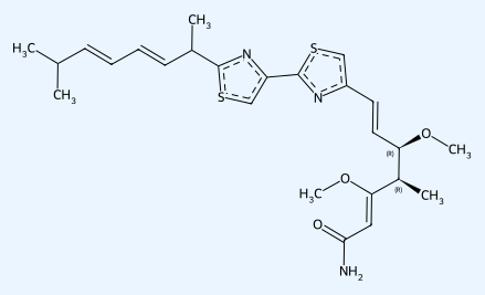 COC(=CC(N)=O)[C@H](C)[C@@H](C=Cc1csc(-c2csc(C(C)C=CC=CC(C)C)n2)n1)OC